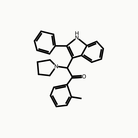 Cc1ccccc1C(=O)C(c1c(-c2ccccc2)[nH]c2ccccc12)N1CCCC1